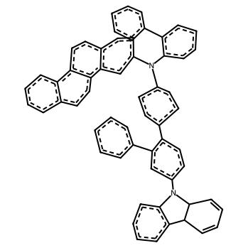 C1=CC2c3ccccc3N(c3ccc(-c4ccc(N(c5ccc6ccc7c8ccccc8ccc7c6c5)c5ccccc5-c5ccccc5)cc4)c(-c4ccccc4)c3)C2C=C1